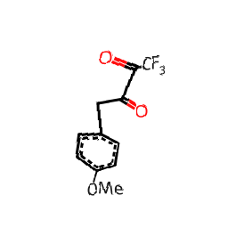 COc1ccc(CC(=O)C(=O)C(F)(F)F)cc1